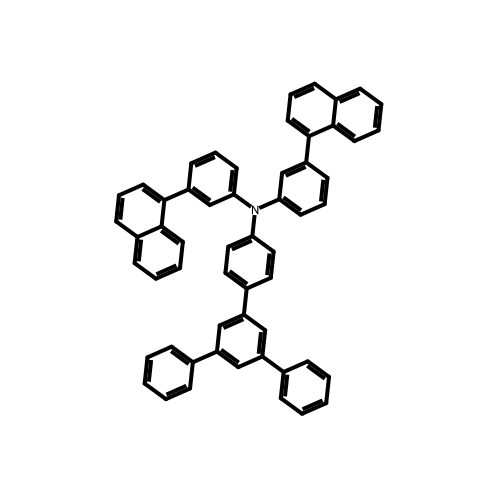 c1ccc(-c2cc(-c3ccccc3)cc(-c3ccc(N(c4cccc(-c5cccc6ccccc56)c4)c4cccc(-c5cccc6ccccc56)c4)cc3)c2)cc1